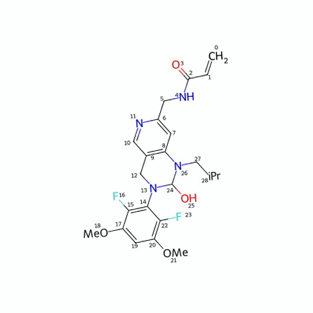 C=CC(=O)NCc1cc2c(cn1)CN(c1c(F)c(OC)cc(OC)c1F)C(O)N2CC(C)C